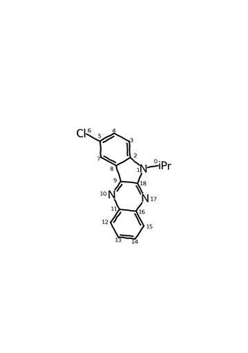 CC(C)n1c2ccc(Cl)cc2c2nc3ccccc3nc21